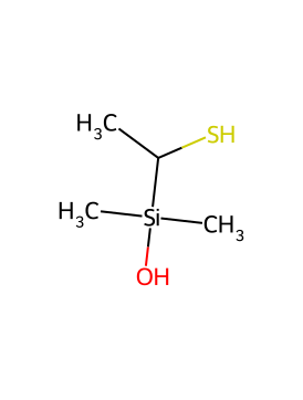 CC(S)[Si](C)(C)O